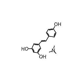 CN(C)C.Oc1ccc(/C=C/c2cc(O)cc(O)c2)cc1